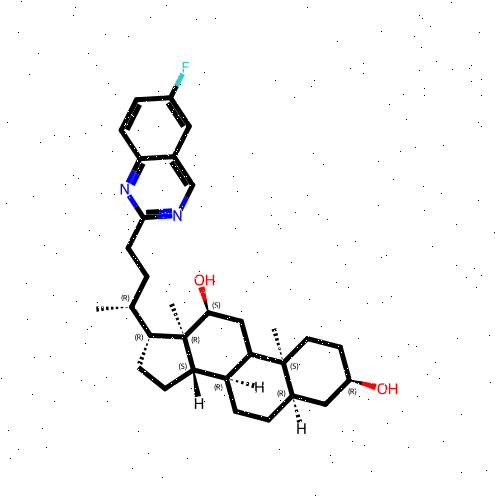 C[C@H](CCc1ncc2cc(F)ccc2n1)[C@H]1CC[C@H]2[C@@H]3CC[C@@H]4C[C@H](O)CC[C@]4(C)C3C[C@H](O)[C@]12C